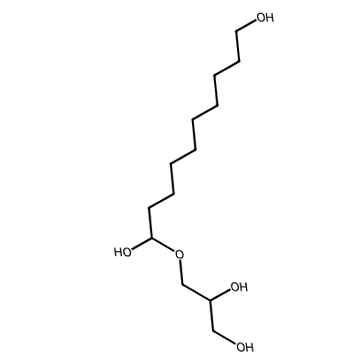 OCCCCCCCCCC(O)OCC(O)CO